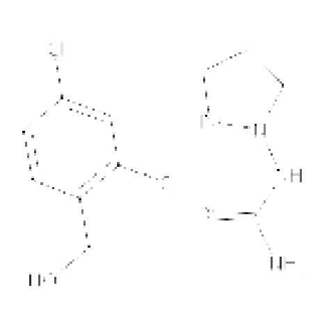 NC(=O)NN1CCCN1.OCc1ccc(Cl)cc1Cl